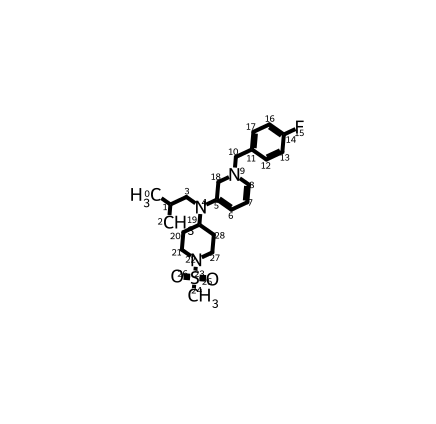 CC(C)CN(C1=CC=CN(Cc2ccc(F)cc2)C1)C1CCN(S(C)(=O)=O)CC1